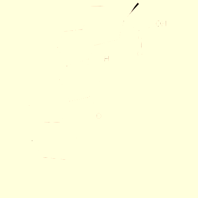 C[C@H]1CC[C@@]2(C)C(CC[C@]3(C)C2C(=O)C=C2[C@@H]4C[C@@](C)(C(=O)O)CC[C@]4(C)CCC23C)C1(C)C